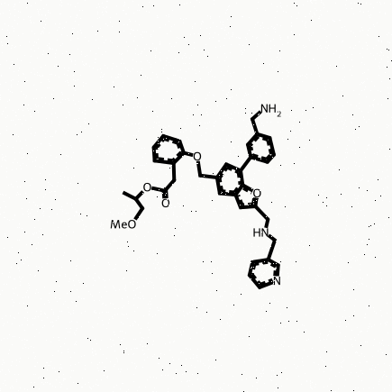 COCC(C)OC(=O)Cc1ccccc1OCc1cc(-c2cccc(CN)c2)c2oc(CNCc3cccnc3)cc2c1